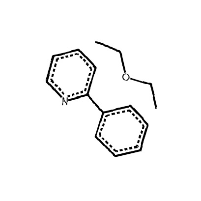 CCOCC.c1ccc(-c2ccccn2)cc1